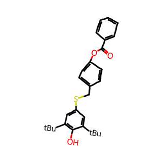 CC(C)(C)c1cc(SCc2ccc(OC(=O)c3ccccc3)cc2)cc(C(C)(C)C)c1O